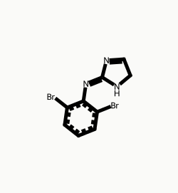 Brc1cccc(Br)c1N=C1N=CCN1